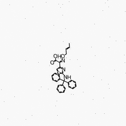 CC=CCON=C(C(=O)O)c1csc(NC(c2ccccc2)(c2ccccc2)c2ccccc2)n1